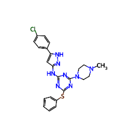 CN1CCN(c2nc(Nc3cc(-c4ccc(Cl)cc4)[nH]n3)nc(Sc3ccccc3)n2)CC1